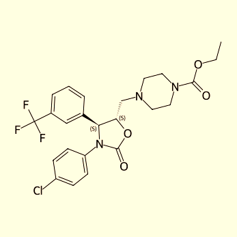 CCOC(=O)N1CCN(C[C@@H]2OC(=O)N(c3ccc(Cl)cc3)[C@H]2c2cccc(C(F)(F)F)c2)CC1